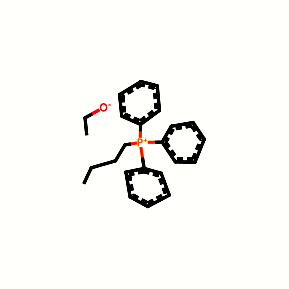 CCCC[P+](c1ccccc1)(c1ccccc1)c1ccccc1.CC[O-]